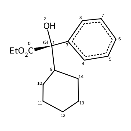 CCOC(=O)[C@@](O)(c1ccccc1)C1CCCCC1